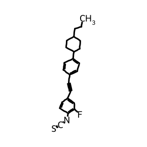 CCCC1CCC(c2ccc(C#Cc3ccc(N=C=S)c(F)c3)cc2)CC1